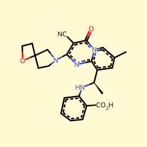 Cc1cc([C@@H](C)Nc2ccccc2C(=O)O)c2nc(N3CCC4(CCO4)C3)c(C#N)c(=O)n2c1